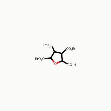 CCOC(=O)C1OC(C(=O)O)C(C(=O)OCC)C1C(=O)OCC